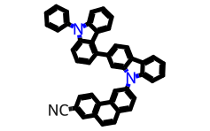 N#Cc1ccc2c(ccc3ccc(-n4c5ccccc5c5ccc(-c6cccc7c6c6ccccc6n7-c6ccccc6)cc54)cc32)c1